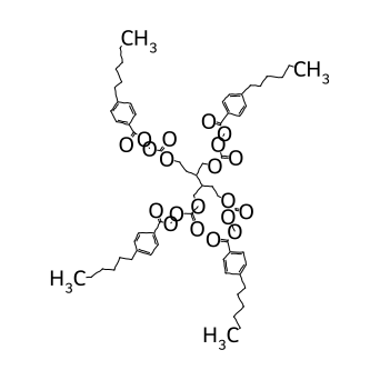 CCCCCCc1ccc(C(=O)OOC(=O)OCCC(COC(=O)OOC(=O)c2ccc(CCCCCC)cc2)C(CCOC(=O)OOC(=O)c2ccc(CCCCCC)cc2)COC(=O)OOC(=O)c2ccc(CCCCCC)cc2)cc1